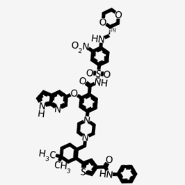 CC1(C)CCC(CN2CCN(c3ccc(C(=O)NS(=O)(=O)c4ccc(NC[C@H]5COCCO5)c([N+](=O)[O-])c4)c(Oc4cnc5[nH]ccc5c4)c3)CC2)=C(c2cc(C(=O)Nc3ccccc3)cs2)C1